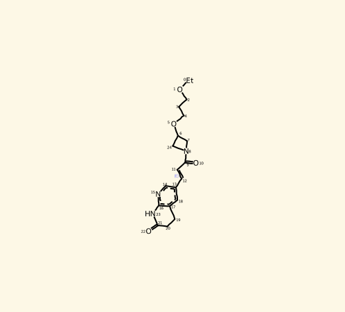 CCOCCCOC1CN(C(=O)/C=C/c2cnc3c(c2)CCC(=O)N3)C1